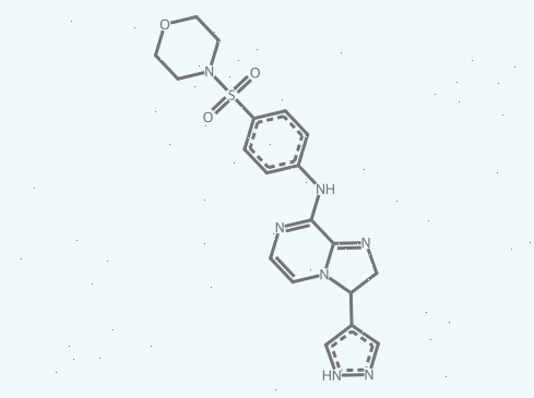 O=S(=O)(c1ccc(NC2=NC=CN3C2=NCC3c2cn[nH]c2)cc1)N1CCOCC1